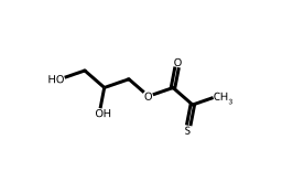 CC(=S)C(=O)OCC(O)CO